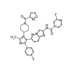 Cc1nc(-c2ccc(F)cc2)c(-c2ccc3nc(NC(=O)c4ccnc(F)c4)cn3n2)n1C1CCN(C(=O)c2ccsn2)CC1